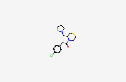 O=C(Cc1ccc(Cl)cc1)N1CCSCC1CN1CCCC1